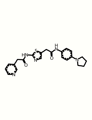 O=C(Cc1cnc(NC(=O)Cc2cccnc2)s1)Nc1ccc(N2CCCC2)cc1